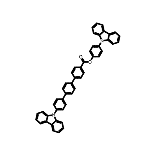 O=C(Oc1ccc(-n2c3ccccc3c3ccccc32)cc1)c1ccc(-c2ccc(-c3ccc(-n4c5ccccc5c5ccccc54)cc3)cc2)cc1